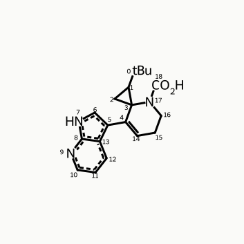 CC(C)(C)C1CC12C(c1c[nH]c3ncccc13)=CCCN2C(=O)O